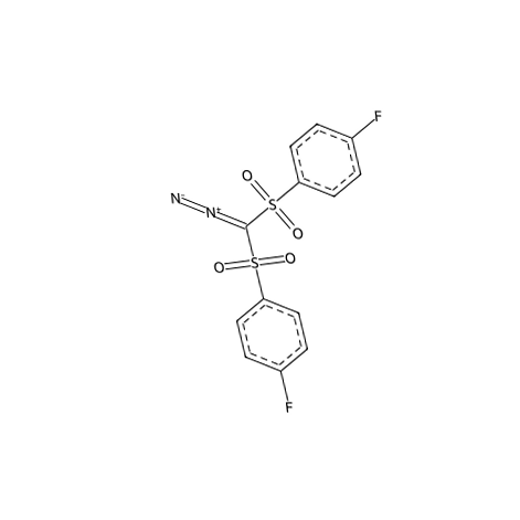 [N-]=[N+]=C(S(=O)(=O)c1ccc(F)cc1)S(=O)(=O)c1ccc(F)cc1